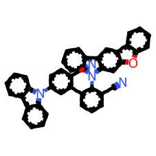 N#Cc1ccc(-n2c3ccccc3c3ccccc32)cc1-c1cccc(C#N)c1-n1c2ccccc2c2cc3c(cc21)oc1ccccc13